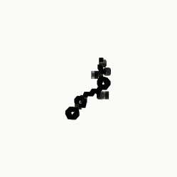 COCC(=O)Nc1cccc(C(O)CCCN2CCN(c3ccccc3)CC2)c1